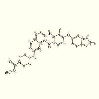 Cc1c(Oc2ccc3cn(C)nc3c2)ccc(Nc2ncnc3ccc(OC4CCN(C(=O)OC(C)(C)C)CC4)nc23)c1F